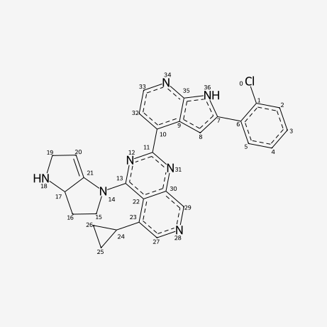 Clc1ccccc1-c1cc2c(-c3nc(N4CCC5NCC=C54)c4c(C5CC5)cncc4n3)ccnc2[nH]1